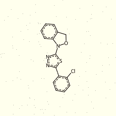 Clc1ccccc1-c1nnc(N2OCc3ccccc32)s1